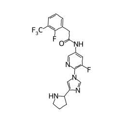 O=C(Cc1cccc(C(F)(F)F)c1F)Nc1cnc(-n2cnc(C3CCCN3)c2)c(F)c1